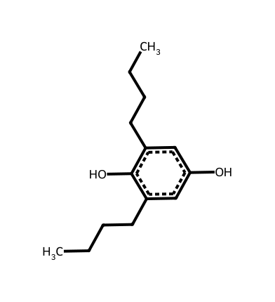 CCCCc1cc(O)cc(CCCC)c1O